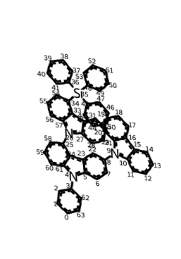 c1ccc(-n2c3ccc(-n4c5ccccc5c5ccccc54)cc3c3c(-n4c5ccccc5c5c([Si](c6ccccc6)(c6ccccc6)c6ccccc6)cccc54)cccc32)cc1